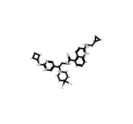 O=C(NCC(c1cnc(OC2CCC2)nc1)N1CCC(F)(F)CC1)c1cccc2nc(NCC3CC3)ccc12